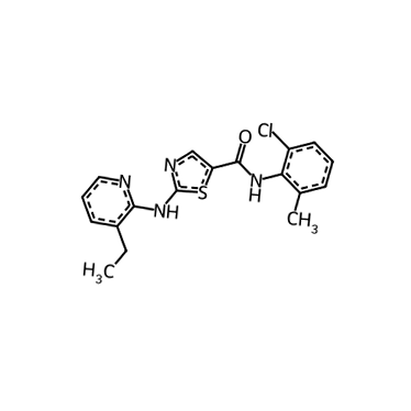 CCc1cccnc1Nc1ncc(C(=O)Nc2c(C)cccc2Cl)s1